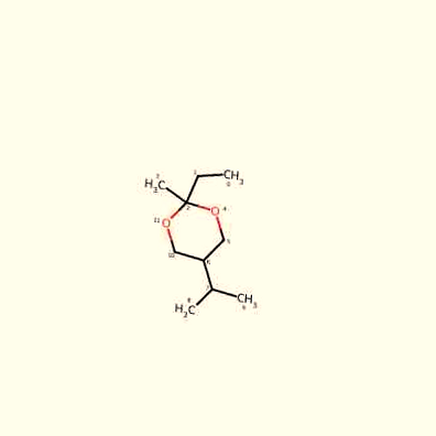 CCC1(C)OCC(C(C)C)CO1